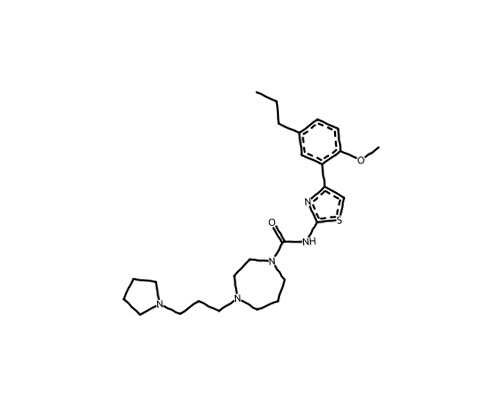 CCCc1ccc(OC)c(-c2csc(NC(=O)N3CCCN(CCCN4CCCC4)CC3)n2)c1